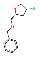 Br[C@H]1CO[C@H](COCc2ccccc2)C1